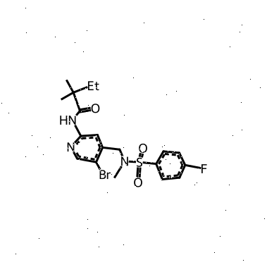 CCC(C)(C)C(=O)Nc1cc(CN(C)S(=O)(=O)c2ccc(F)cc2)c(Br)cn1